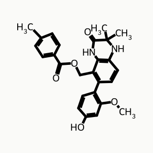 COc1cc(O)ccc1-c1ccc2c(c1COC(=O)c1ccc(C)cc1)NC(=O)C(C)(C)N2